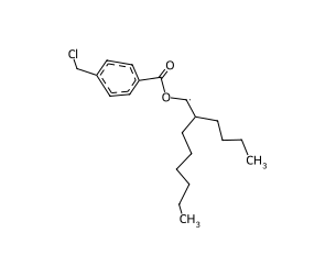 CCCCCCC([CH]OC(=O)c1ccc(CCl)cc1)CCCC